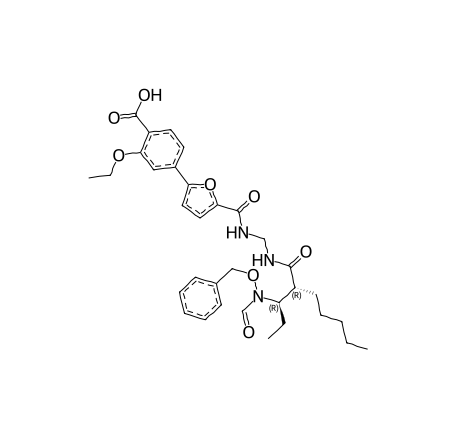 CCCCC[C@@H](C(=O)NCNC(=O)c1ccc(-c2ccc(C(=O)O)c(OCC)c2)o1)[C@@H](CC)N(C=O)OCc1ccccc1